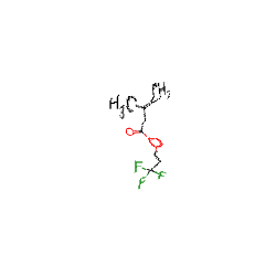 C=C(C)CC(=O)OCCC(F)(F)F